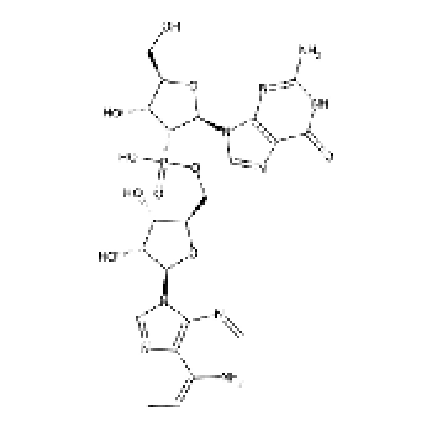 C=Nc1c(/C(N)=C\C)ncn1[C@@H]1O[C@H](COP(=O)(O)[C@@H]2[C@H](O)[C@@H](CO)O[C@H]2n2cnc3c(=O)[nH]c(N)nc32)[C@@H](O)[C@H]1O